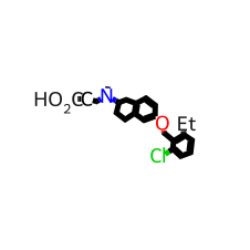 CCc1cccc(Cl)c1COc1ccc2c(c1)CCC(N(C)CCC(=O)O)C2